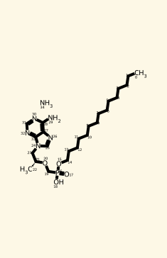 CCCCCCCCCCCCCCCOP(=O)(O)CO[C@H](C)Cn1cnc2c(N)ncnc21.N